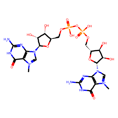 C[n+]1cn([C@@H]2O[C@H](COP(=O)(O)OP(=O)(O)OC[C@H]3O[C@@H](n4c[n+](C)c5c(=O)[nH]c(N)nc54)[C@H](O)[C@@H]3O)[C@@H](O)[C@H]2O)c2nc(N)[nH]c(=O)c21